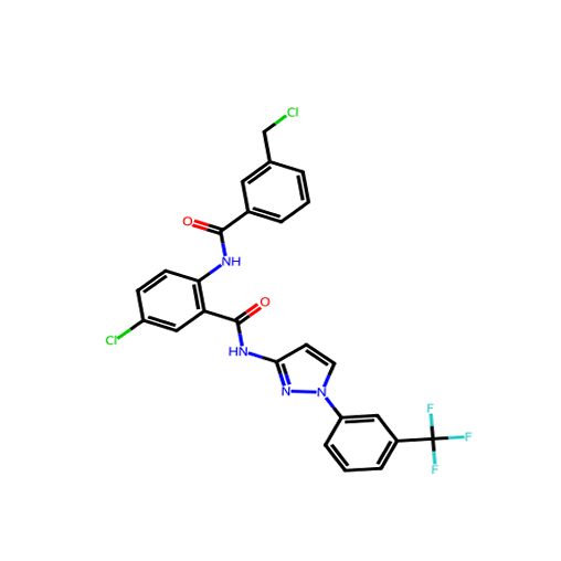 O=C(Nc1ccc(Cl)cc1C(=O)Nc1ccn(-c2cccc(C(F)(F)F)c2)n1)c1cccc(CCl)c1